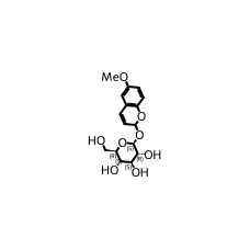 COc1ccc2c(c1)C=CC(O[C@@H]1O[C@H](CO)[C@@H](O)[C@H](O)[C@H]1O)O2